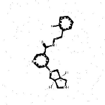 O=C(NCCc1ccccc1F)c1cncc(N2C[C@H]3CNC[C@H]3C2)c1